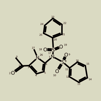 CC(=O)c1ccc(N(S(=O)(=O)c2ccccc2)S(=O)(=O)c2ccccc2)n1C